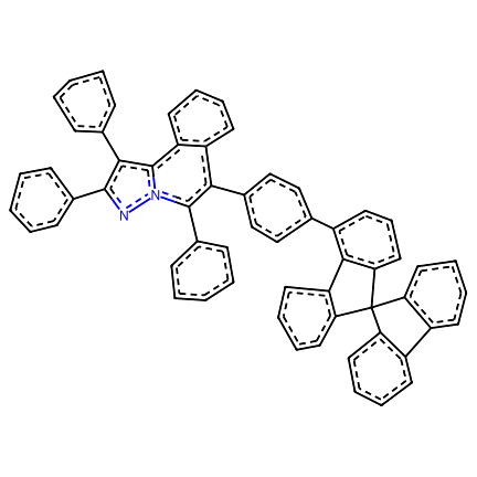 c1ccc(-c2nn3c(-c4ccccc4)c(-c4ccc(-c5cccc6c5-c5ccccc5C65c6ccccc6-c6ccccc65)cc4)c4ccccc4c3c2-c2ccccc2)cc1